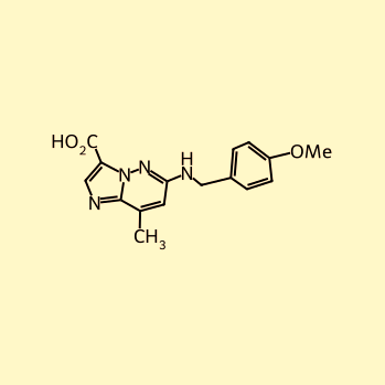 COc1ccc(CNc2cc(C)c3ncc(C(=O)O)n3n2)cc1